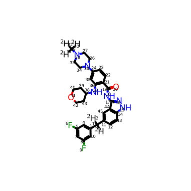 [2H]C([2H])(c1cc(F)cc(F)c1)c1ccc2[nH]nc(NC(=O)c3ccc(N4CCN(C([2H])([2H])[2H])CC4)cc3NC3CCOCC3)c2c1